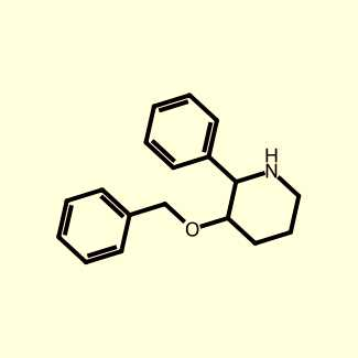 c1ccc(COC2CCCNC2c2ccccc2)cc1